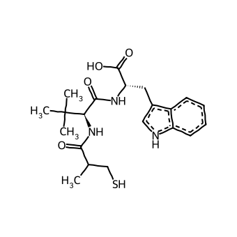 CC(CS)C(=O)N[C@H](C(=O)N[C@@H](Cc1c[nH]c2ccccc12)C(=O)O)C(C)(C)C